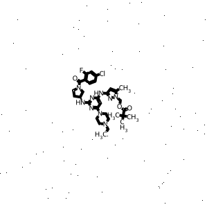 CCN1CCN(c2cc(Nc3cc(C)n(COC(=O)C(C)(C)C)n3)nc(N[C@H]3CCN(C(=O)c4ccc(Cl)cc4F)C3)n2)CC1